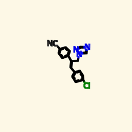 N#Cc1ccc(C(=Cc2ccc(Cl)cc2)Cn2cncn2)cc1